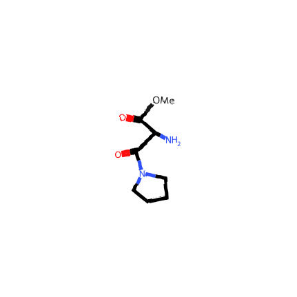 COC(=O)C(N)C(=O)N1CCCC1